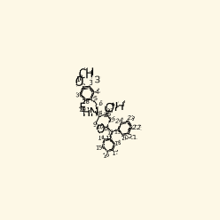 COc1ccc(CNC2COC(C(c3ccccc3)c3ccccc3)CC2O)c(F)c1